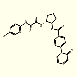 O=C(Nc1ccc(Cl)cn1)C(=O)N[C@@H]1CCCC1NC(=O)c1ccc(-n2ccccc2=O)cc1